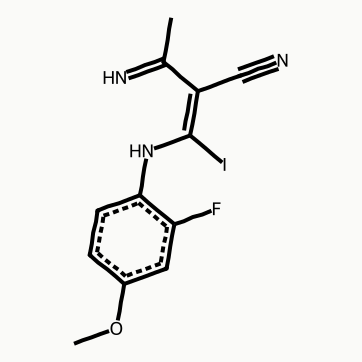 COc1ccc(N/C(I)=C(/C#N)C(C)=N)c(F)c1